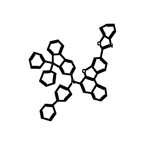 c1ccc(-c2ccc(N(c3ccc4c(c3)C(c3ccccc3)(c3ccccc3)c3ccccc3-4)c3cc4ccccc4c4c3oc3cc(-c5nc6ccccc6o5)ccc34)cc2)cc1